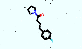 O=C(CCCc1ccc(F)cc1)N1CCCC1